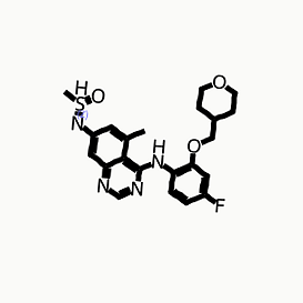 Cc1cc(/N=[SH](/C)=O)cc2ncnc(Nc3ccc(F)cc3OCC3CCOCC3)c12